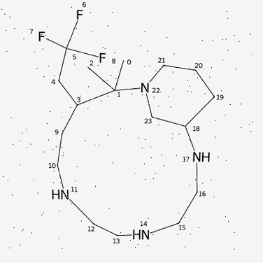 CC1(C)C(CC(F)(F)F)CCNCCNCCNC2CCCN1C2